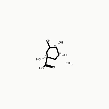 O=C(O)[C@@]1(O)CC(O)[C@H](O)[C@H](O)C1.[CaH2]